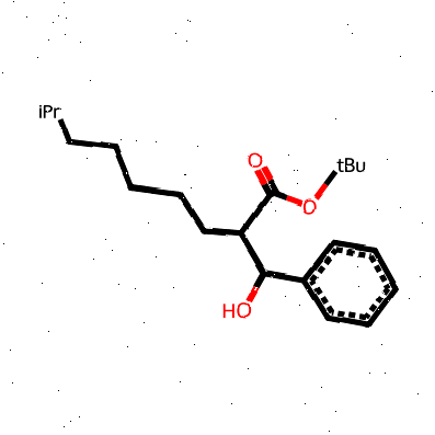 CC(C)CCCCCC(C(=O)OC(C)(C)C)C(O)c1ccccc1